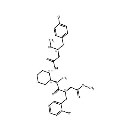 CN[C@H](CC(=O)N[C@H]1CCCC[C@@H]1N(C)C(=O)[C@@H](CC(=O)OC)Cc1cccc[n+]1[O-])Cc1ccc(Cl)cc1